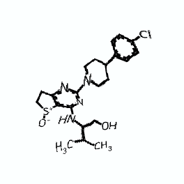 CC(C)C(CO)Nc1nc(N2CCC(c3ccc(Cl)cc3)CC2)nc2c1[S+]([O-])CC2